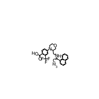 C[C@@H](NCC1COCCN1c1ccc(C(=O)O)c(C(F)(F)F)c1)c1cccc2ccccc12